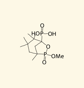 COP1(=O)OC2(P(=O)(O)O)CC1(C)CC(C)(C)C2(C)C